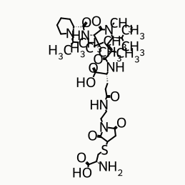 C/C(=C\[C@H](C(C)C)N(C)C(=O)[C@@H](NC(=O)[C@H]1CCCCN1C(C)C)C(C)(C)C)C(=O)N[C@H](CCC(=O)NCCN1C(=O)CC(SC[C@H](N)C(=O)O)C1=O)C(=O)O